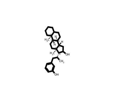 CC(Cc1cccc(O)c1)[C@H]1C(O)C[C@H]2[C@@H]3CCC4CCCC[C@]4(C)[C@H]3CC[C@]12C